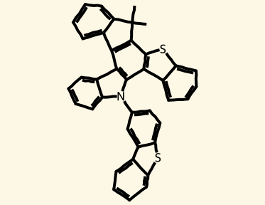 CC1(C)c2ccccc2-c2c1c1sc3ccccc3c1c1c2c2ccccc2n1-c1ccc2sc3ccccc3c2c1